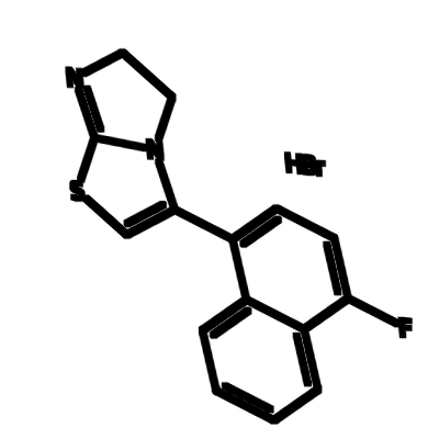 Br.Fc1ccc(C2=CSC3=NCCN23)c2ccccc12